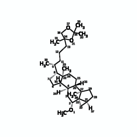 CO[C@@H]1C[C@H]2[C@@H]3CC[C@H]([C@H](C)CCCC4(C)COC(C)(C)O4)[C@@]3(C)CC[C@@H]2[C@@]2(C)CC[C@H]3C[C@]312